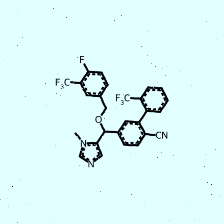 Cn1cncc1C(OCc1ccc(F)c(C(F)(F)F)c1)c1ccc(C#N)c(-c2ccccc2C(F)(F)F)c1